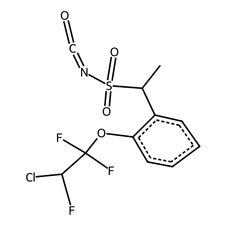 CC(c1ccccc1OC(F)(F)C(F)Cl)S(=O)(=O)N=C=O